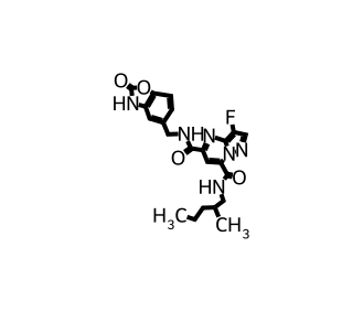 CCCC(C)CNC(=O)c1cc(C(=O)NCc2ccc3oc(=O)[nH]c3c2)nc2c(F)cnn12